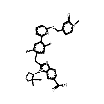 Cn1ccc(COc2cccc(-c3cc(F)c(Cc4nc5ccc(C(=O)O)cc5n4[C@@H]4COCC4(C)C)cc3F)n2)cc1=O